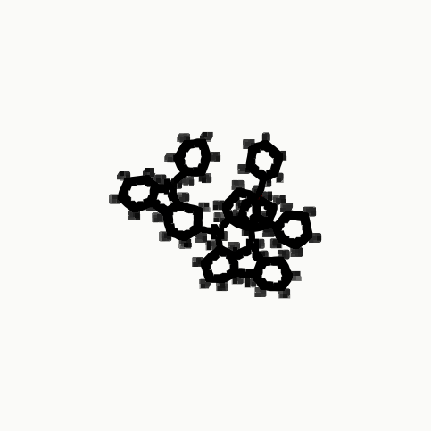 c1ccc(-c2ccc(-n3c4ccccc4c4cccc(N(c5cccc(-c6ccccc6)c5)c5ccc6c7ccccc7n(-c7ccccc7)c6c5)c43)cc2)cc1